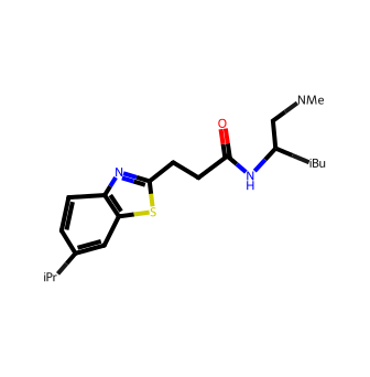 CCC(C)C(CNC)NC(=O)CCc1nc2ccc(C(C)C)cc2s1